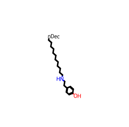 CCCCCCCCCCCCCCCCCCCCCCNCCc1ccc(O)cc1